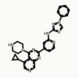 c1ccc(-n2cnc(Nc3cc(-c4nc(N5CCNCC5)c5c(C6CC6)cncc5n4)ccn3)n2)cc1